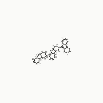 c1ccc2c(c1)c1cncnc1n2-c1ccc2sc3c(-c4ccc5oc6cnccc6c5c4)cncc3c2c1